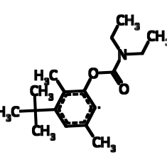 CCN(CC)C(=O)Oc1[c]c(C)cc(C(C)(C)C)c1C